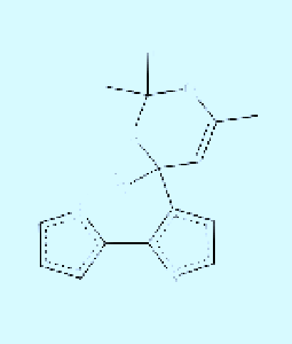 CC1=CC(O)(c2ccsc2-c2cccs2)OC(C)(C)O1